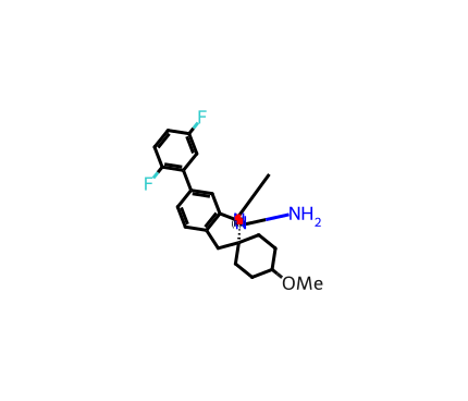 COC1CCC2(CC1)Cc1ccc(-c3cc(F)ccc3F)cc1[C@@]21N=C(C)C(N)=N1